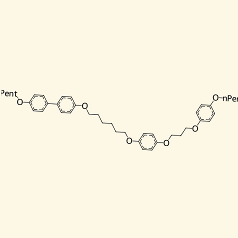 CCCCCOc1ccc(OCCCOc2ccc(OCCCCCCOc3ccc(-c4ccc(OCCCCC)cc4)cc3)cc2)cc1